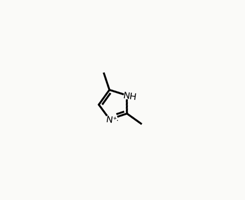 CC1=C[N+]=C(C)N1